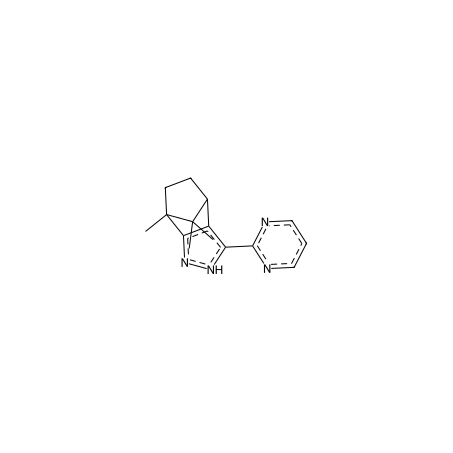 CC12CCC(c3c1n[nH]c3-c1ncccn1)C2(C)C